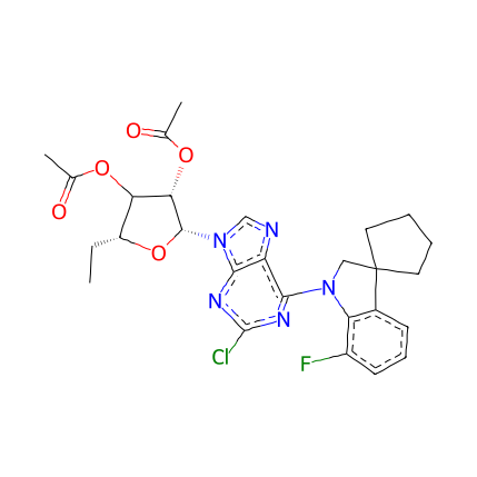 CC[C@H]1O[C@@H](n2cnc3c(N4CC5(CCCC5)c5cccc(F)c54)nc(Cl)nc32)[C@@H](OC(C)=O)C1OC(C)=O